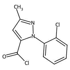 Cc1cc(C(=O)Cl)n(-c2ccccc2Cl)n1